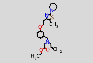 C=CCN(CC(=O)OCC)Cc1cccc(OCCc2nc(N3CCCCC3)sc2C)c1